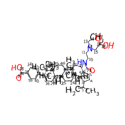 C=C(C)C1CC[C@]2(C(=O)NCCN(CC)CC(=O)O)CC[C@]3(C)[C@H](CC[C@@H]4[C@@]5(C)CC=C(c6ccc(C(=O)O)cc6)C(C)(C)[C@@H]5CC[C@]43C)[C@@H]12